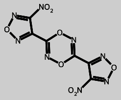 O=[N+]([O-])c1nonc1C1=NOC(c2nonc2[N+](=O)[O-])=NO1